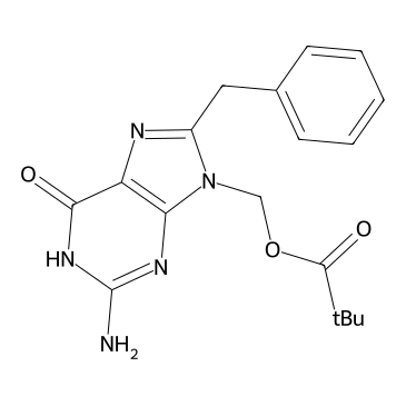 CC(C)(C)C(=O)OCn1c(Cc2ccccc2)nc2c(=O)[nH]c(N)nc21